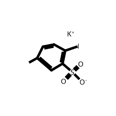 Cc1ccc(I)c(S(=O)(=O)[O-])c1.[K+]